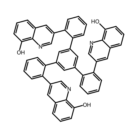 Oc1cccc2cc(-c3ccccc3-c3cc(-c4ccccc4-c4cnc5c(O)cccc5c4)cc(-c4ccccc4-c4cnc5c(O)cccc5c4)c3)cnc12